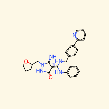 N=C1/C(=C(\NCc2ccc(-c3ccccn3)cc2)Nc2ccccc2)C(=O)NN1CC1CCCO1